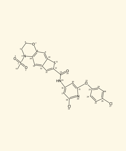 CS(=O)(=O)N1CCOc2cc3sc(C(=O)Nc4cc(Cl)nc(Oc5ccc(Cl)cc5)c4)cc3cc21